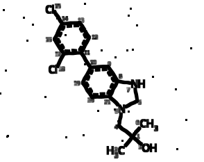 CC(C)(O)CN1CNc2cc(-c3ccc(Cl)cc3Cl)ccc21